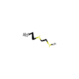 [CH2]CCSCCSCCS[CH2]